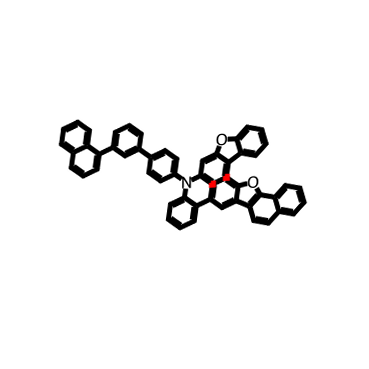 c1cc(-c2ccc(N(c3ccc4c(c3)oc3ccccc34)c3ccccc3-c3ccc4oc5c6ccccc6ccc5c4c3)cc2)cc(-c2cccc3ccccc23)c1